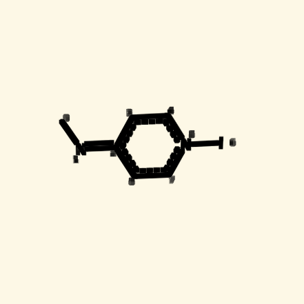 CN=c1ccn(I)cc1